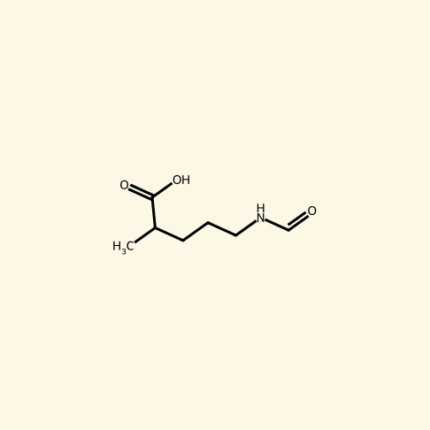 CC(CCCNC=O)C(=O)O